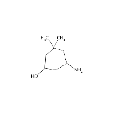 CC1(C)CC(N)CC(O)C1